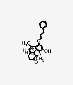 CN1CC[C@]23c4c5c(OCCCc6ccccc6)cc(O)c4O[C@@]2(C)C(=O)CC[C@H]3[C@H]1C5